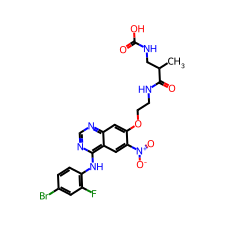 CC(CNC(=O)O)C(=O)NCCOc1cc2ncnc(Nc3ccc(Br)cc3F)c2cc1[N+](=O)[O-]